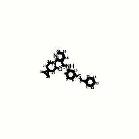 O=C(Nc1cccc(SCc2ccccc2)c1)c1cccnc1N1CCC2(CC1)CC2